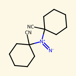 N#CC1([N+](=[N-])C2(C#N)CCCCC2)CCCCC1